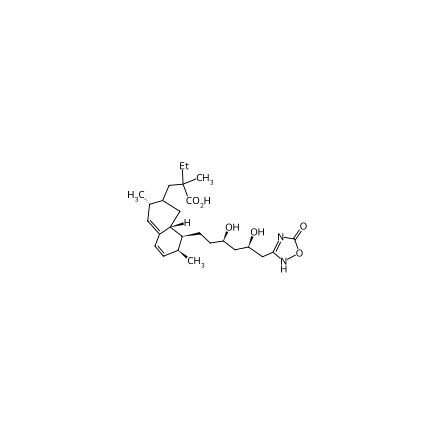 CCC(C)(CC1C[C@H]2C(=C[C@@H]1C)C=C[C@H](C)[C@@H]2CC[C@@H](O)C[C@@H](O)Cc1nc(=O)o[nH]1)C(=O)O